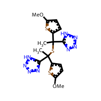 COc1ccc(C(C)(SC(C)(c2nnn[nH]2)c2ccc(OC)s2)c2nnn[nH]2)s1